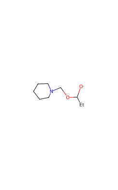 CCC([O])OCN1CCCCC1